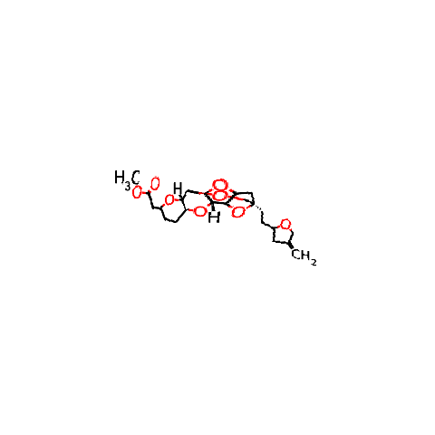 C=C1COC(CC[C@@]23CC4OC5C(O2)[C@H]2OC(CC(=O)OC)CCC2O[C@H]5C4O3)C1